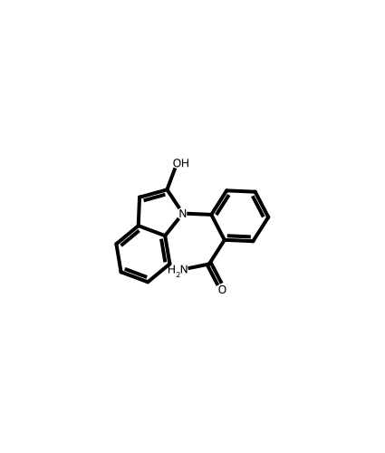 NC(=O)c1ccccc1-n1c(O)cc2ccccc21